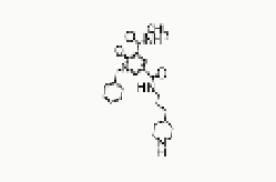 CNC(=O)c1cc(C(=O)NCCCC2CCNCC2)cn(Cc2ccccc2)c1=O